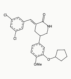 COc1ccc(C2CNC(=O)C(=Cc3cc(Cl)cc(Cl)c3)C2)cc1OC1CCCC1